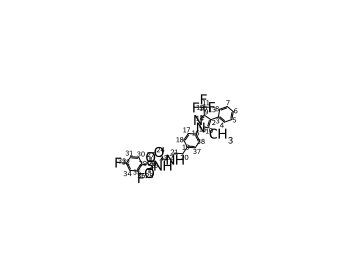 Cc1c(-c2ccccc2)c(C(F)(F)F)nn1-c1ccc(CCNC(=O)NS(=O)(=O)c2ccc(F)cc2F)cc1